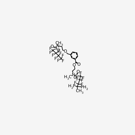 CN(CCOCc1cccc(C(=O)OCCN(C)S(=O)(=O)C(F)(F)C(F)(F)C(F)(F)C(C)(P)P)c1)S(=O)(=O)C(F)(F)C(F)(F)C(F)(F)C(F)(F)F